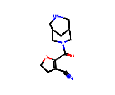 N#CC1=C(C(=O)N2CC3CNCC(C3)C2)OCC1